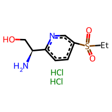 CCS(=O)(=O)c1ccc([C@@H](N)CO)nc1.Cl.Cl